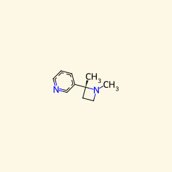 CN1CC[C@]1(C)c1cccnc1